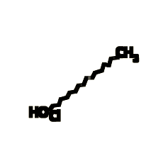 CCCCCCCCCCCCCCCCCC(O)Cl